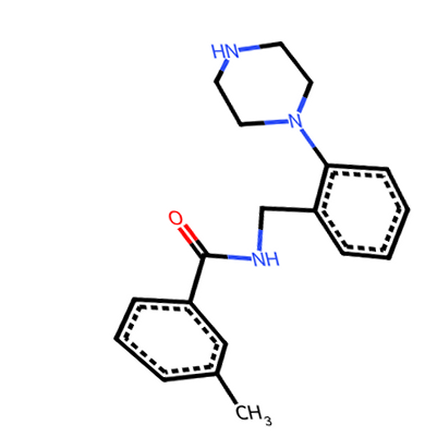 Cc1cccc(C(=O)NCc2ccccc2N2CCNCC2)c1